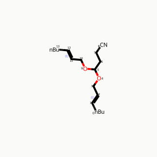 CCCC/C=C/COC(CCC#N)OC/C=C/CCCC